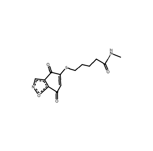 CNC(=O)CCCCSC1=CC(=O)c2oncc2C1=O